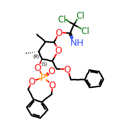 CC1C(OC(=N)C(Cl)(Cl)Cl)OC(COCc2ccccc2)[C@@H](OP2(=O)OCc3ccccc3CO2)[C@@H]1C